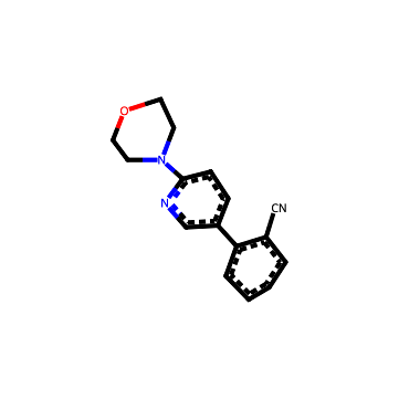 N#Cc1ccccc1-c1ccc(N2CCOCC2)nc1